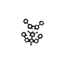 CC(C)(C)c1ccc(-c2c(-n3c4ccccc4c4ccccc43)c(C#N)c(-n3c4ccc(-c5ccccc5)cc4c4cc(-c5ccccc5)ccc43)c(C#N)c2-n2c3ccccc3c3ccccc32)cc1